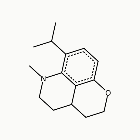 CC(C)c1ccc2c3c1N(C)CCC3CCO2